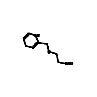 CNCCOCC1=CCC=CN1